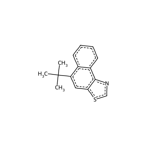 CC(C)(C)c1cc2scnc2c2ccccc12